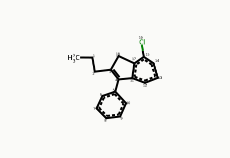 CCCC1=C(c2ccccc2)c2cccc(Cl)c2[CH]1